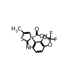 CC(=O)[N+]1(c2cccc3c2OC(F)(F)O3)C=C(C)SC1=N